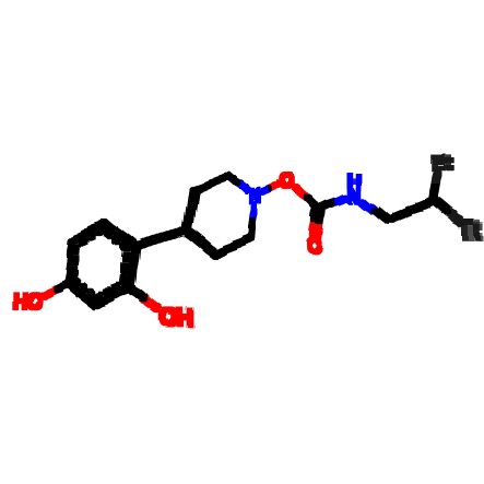 CCC(CC)CNC(=O)ON1CCC(c2ccc(O)cc2O)CC1